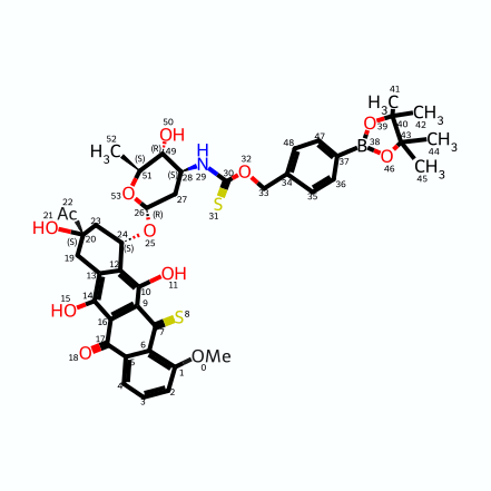 COc1cccc2c1C(=S)c1c(O)c3c(c(O)c1C2=O)C[C@@](O)(C(C)=O)C[C@@H]3O[C@H]1C[C@H](NC(=S)OCc2ccc(B3OC(C)(C)C(C)(C)O3)cc2)[C@@H](O)[C@H](C)O1